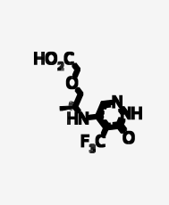 C[C@@H](COCC(=O)O)Nc1cn[nH]c(=O)c1C(F)(F)F